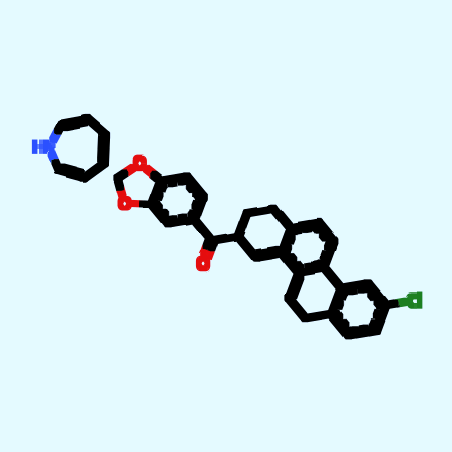 C1=CC=CNC=C1.O=C(c1ccc2c(c1)OCO2)C1C=c2c(ccc3c2=CCc2ccc(Cl)cc2-3)CC1